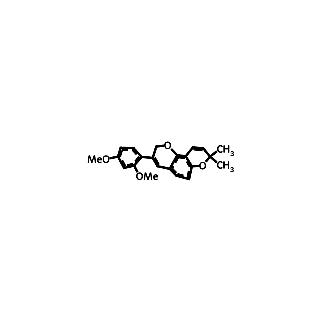 COc1ccc(C2=Cc3ccc4c(c3OC2)C=CC(C)(C)O4)c(OC)c1